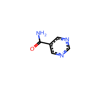 NC(=O)c1cncnc1